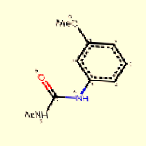 COc1cccc(NC(=O)NC(C)=O)c1